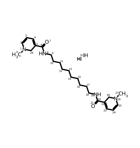 CN1C=CC=C(C(=O)NCCCCCCCCCCNC(=O)C2=CC=CN(C)C2)C1.I.I